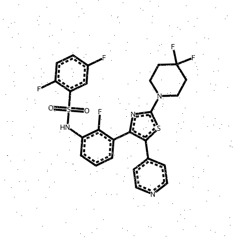 O=S(=O)(Nc1cccc(-c2nc(N3CCC(F)(F)CC3)sc2-c2ccncc2)c1F)c1cc(F)ccc1F